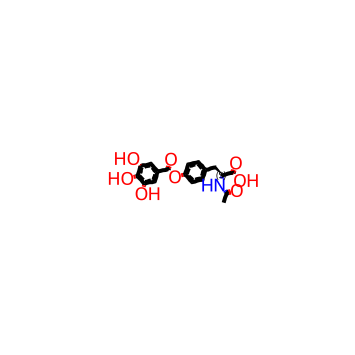 CC(=O)N[C@@H](Cc1ccc(OC(=O)c2cc(O)c(O)c(O)c2)cc1)C(=O)O